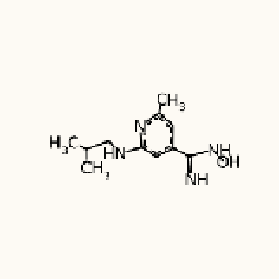 Cc1cc(C(=N)NO)cc(NCC(C)C)n1